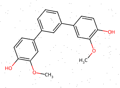 COc1cc(-c2cccc(-c3ccc(O)c(OC)c3)c2)ccc1O